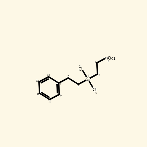 CCCCCCCCCC[Si](Cl)(Cl)CCc1ccccc1